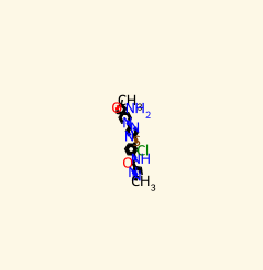 C[C@@H]1OCC2(CCN(c3cnc(Sc4cccc(NC(=O)c5ccn(C)n5)c4Cl)cn3)CC2)[C@@H]1N